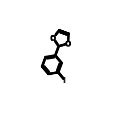 Ic1cccc(C2OC=CO2)c1